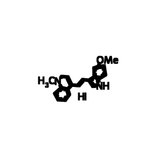 COc1ccc2[nH]cc(/C=C/C3=CCN(C)c4ccccc43)c2c1.I